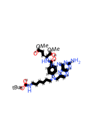 COC(=O)CC[C@H](NC(=O)c1ccc(N(CCCCCCNC(=O)OC(C)(C)C)Cc2cnc3nc(N)nc(N)c3n2)cc1)C(=O)OC